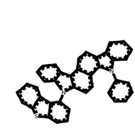 c1ccc(-n2c3ccccc3c3ccc4c(ccc5c4c4ccccc4n5-c4cccc5sc6ccccc6c45)c32)cc1